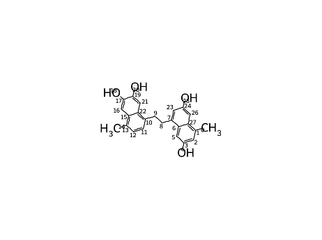 Cc1cc(O)cc2c(CCc3ccc(C)c4cc(O)c(O)cc34)cc(O)cc12